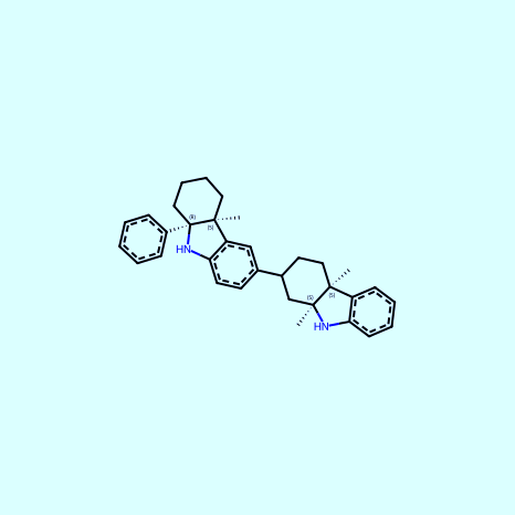 C[C@@]12CCC(c3ccc4c(c3)[C@]3(C)CCCC[C@]3(c3ccccc3)N4)C[C@]1(C)Nc1ccccc12